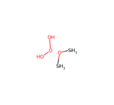 OOO.[SiH3]O[SiH3]